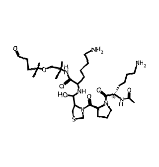 CC(=O)N[C@@H](CCCCN)C(=O)N1CCCC1C(=O)N1CSCC1C(O)NC(CCCCN)C(=O)NC(C)(C)COC(C)(C)CCC=O